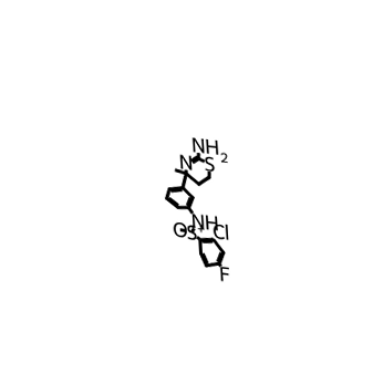 CC1(c2cccc(N[S+]([O-])c3ccc(F)cc3Cl)c2)CCSC(N)=N1